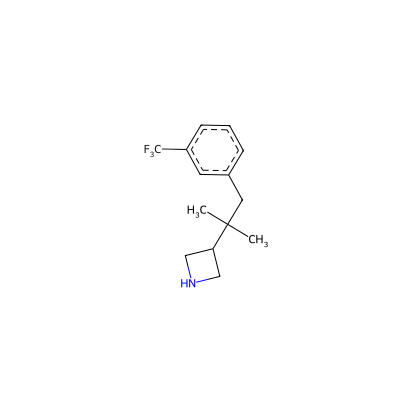 CC(C)(Cc1cccc(C(F)(F)F)c1)C1CNC1